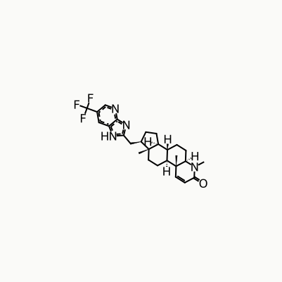 CN1C(=O)C=C[C@]2(C)[C@H]3CC[C@]4(C)[C@@H](Cc5nc6ncc(C(F)(F)F)cc6[nH]5)CC[C@H]4[C@@H]3CC[C@@H]12